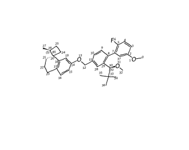 COc1ccc(F)c(-c2ccc(COc3ccc4c(c3)[C@]3(CCC4)CC[C@@H]3C)cc2[C@@H](OC)C(C)(C)C)c1